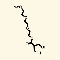 COCCOCCOCCOC(=O)C(CO)CO